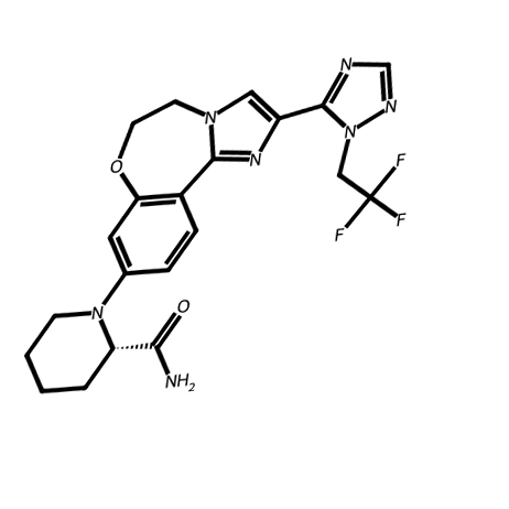 NC(=O)[C@@H]1CCCCN1c1ccc2c(c1)OCCn1cc(-c3ncnn3CC(F)(F)F)nc1-2